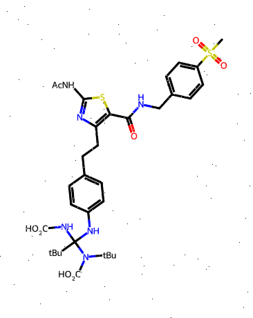 CC(=O)Nc1nc(CCc2ccc(NC(NC(=O)O)(N(C(=O)O)C(C)(C)C)C(C)(C)C)cc2)c(C(=O)NCc2ccc(S(C)(=O)=O)cc2)s1